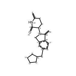 C=C1CCC(N2Cc3cc(CC4CCCC4)ccc3C2=C)C(=O)N1